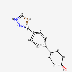 O=C1CCC(c2ccc(-c3nncs3)cc2)CC1